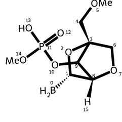 B[C@@H]1O[C@]2(COC)CO[C@H]1C2OP(=O)(O)OC